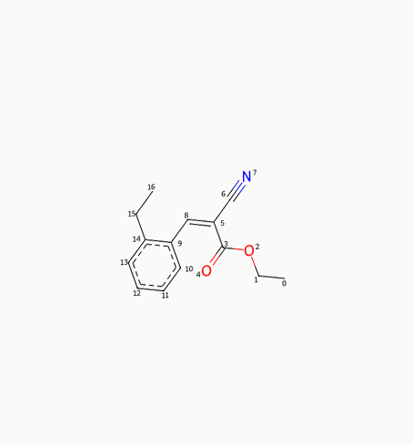 CCOC(=O)C(C#N)=Cc1ccccc1CC